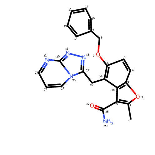 Cc1oc2ccc(OCc3ccccc3)c(Cc3nnc4ncccn34)c2c1C(N)=O